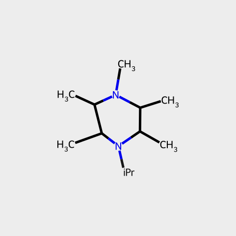 CC1C(C)N(C(C)C)C(C)C(C)N1C